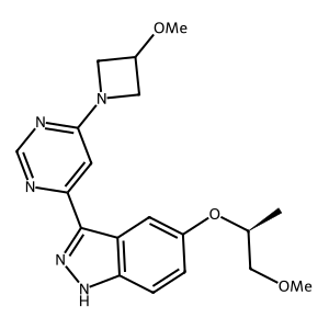 COC[C@H](C)Oc1ccc2[nH]nc(-c3cc(N4CC(OC)C4)ncn3)c2c1